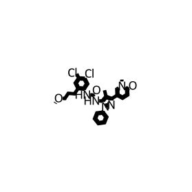 COCCCc1cc(Cl)c(Cl)cc1NC(=O)Nc1c(C)c(-c2ccc(=O)n(C)c2)nn1-c1ccccc1